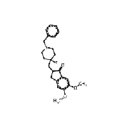 COc1cc2c(cc1OC)C(=O)C(CC1(F)CCN(Cc3ccccc3)CC1)C2